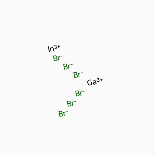 [Br-].[Br-].[Br-].[Br-].[Br-].[Br-].[Ga+3].[In+3]